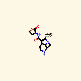 O=C([O-])C1=C(C(=O)N[C@H]2CCSC2=O)C2CCNC3CN1C32.[Na+]